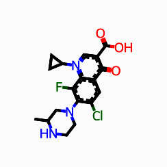 CC1CN(c2c(Cl)cc3c(=O)c(C(=O)O)cn(C4CC4)c3c2F)CCN1